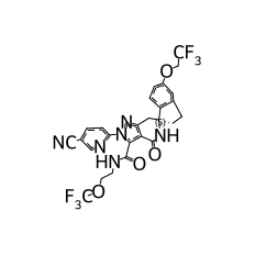 N#Cc1ccc(-n2nc3c(c2C(=O)NCCOC(F)(F)F)C(=O)N[C@@]2(CCc4cc(OCC(F)(F)F)ccc42)C3)nc1